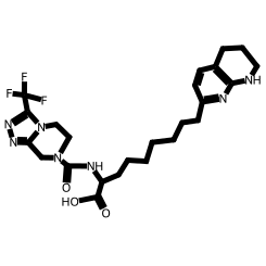 O=C(O)C(CCCCCCCc1ccc2c(n1)NCCC2)NC(=O)N1CCn2c(nnc2C(F)(F)F)C1